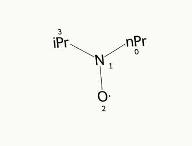 CCCN([O])C(C)C